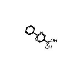 OB(O)c1cnc(-c2ccccc2)nc1